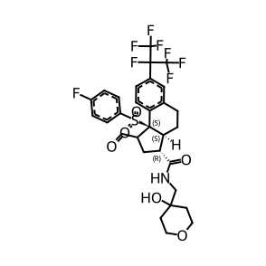 O=CC1C[C@@H](C(=O)NCC2(O)CCOCC2)[C@@H]2CCc3cc(C(F)(C(F)(F)F)C(F)(F)F)ccc3[C@@]12S(=O)(=O)c1ccc(F)cc1